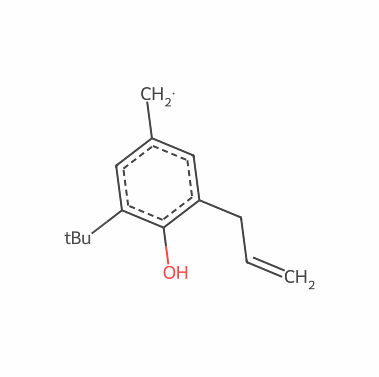 [CH2]c1cc(CC=C)c(O)c(C(C)(C)C)c1